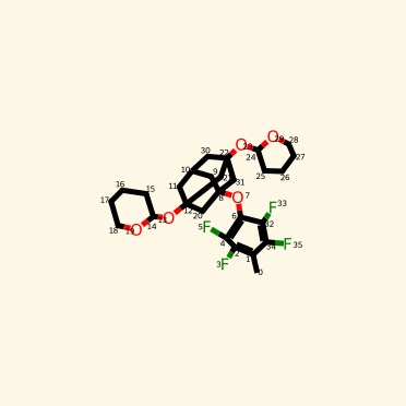 Cc1c(F)c(F)c(OC23CC4CC(OC5CCCCO5)(C2)CC(OC2CCCCO2)(C4)C3)c(F)c1F